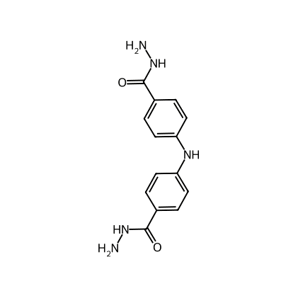 NNC(=O)c1ccc(Nc2ccc(C(=O)NN)cc2)cc1